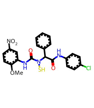 COc1ccc([N+](=O)[O-])cc1NC(=O)N(S)C(C(=O)Nc1ccc(Cl)cc1)c1ccccc1